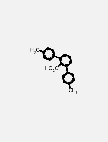 Cc1ccc(-c2cccc(-c3ccc(C)cc3)c2C(=O)O)cc1